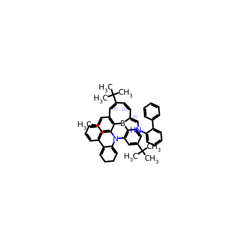 Cc1cc2c3c(c1)N(C1=CCCC=C1c1ccccc1)c1cc(C(C)(C)C)ccc1B3C(=C\Nc1ccccc1-c1ccccc1)/C=C\C(C(C)(C)C)=C/2